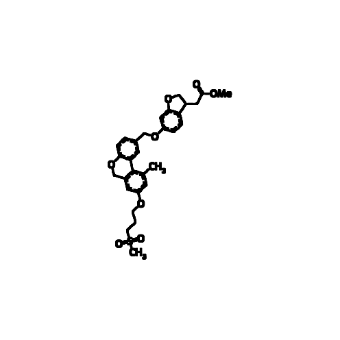 COC(=O)CC1COc2cc(OCc3ccc4c(c3)-c3c(C)cc(OCCCS(C)(=O)=O)cc3CO4)ccc21